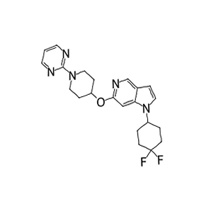 FC1(F)CCC(n2ccc3cnc(OC4CCN(c5ncccn5)CC4)cc32)CC1